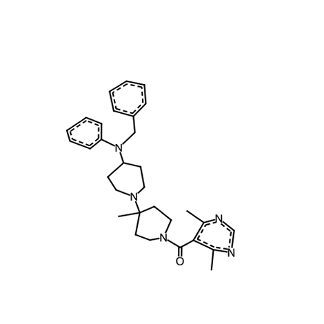 Cc1ncnc(C)c1C(=O)N1CCC(C)(N2CCC(N(Cc3ccccc3)c3ccccc3)CC2)CC1